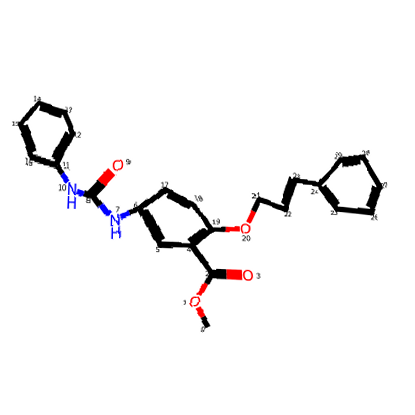 COC(=O)c1cc(NC(=O)Nc2ccccc2)ccc1OCC=Cc1ccccc1